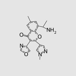 Cc1cc(C(C)N)c2oc(-c3cnn(C)c3)c(-c3cocn3)c(=O)c2c1